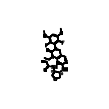 C=CC(=O)N[C@H]1COC[C@H]1Nc1ncc2c(n1)N(CC)C(=S)N(c1c(F)c(OC)cc(OC)c1F)C2